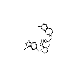 Cc1ccc2c(c1)CN(CC(O)CN1CCN(Cc3ccc4ncn(C)c4c3)C1=O)CC2